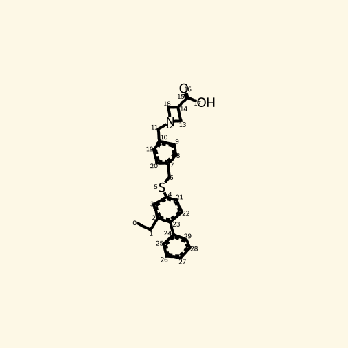 CCc1cc(SCc2ccc(CN3CC(C(=O)O)C3)cc2)ccc1-c1ccccc1